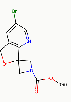 CC(C)(C)OC(=O)N1CC2(C1)OCc1cc(Br)cnc12